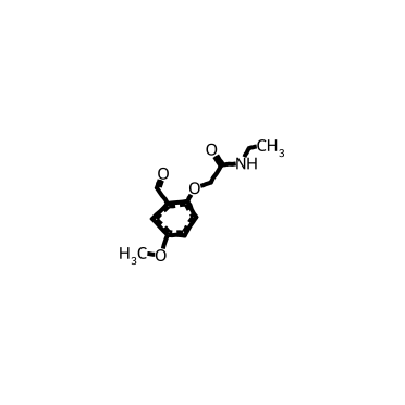 CCNC(=O)COc1ccc(OC)cc1C=O